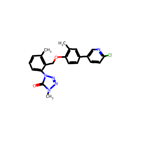 Cc1cc(-c2ccc(Cl)nc2)ccc1OCc1c(C)cccc1-n1nnn(C)c1=O